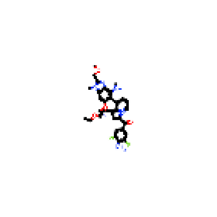 CCO/C=C/c1cc(C(=O)c2cc(F)c(N)c(F)c2)n2cccc(-c3c(OC)cc4c(nc(COC)n4C)c3NC)c12